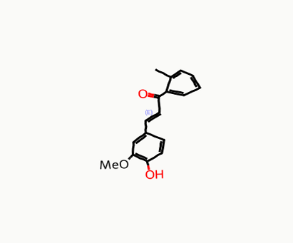 COc1cc(/C=C/C(=O)c2ccccc2C)ccc1O